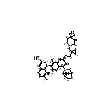 CCc1c(F)ccc2c1C(c1c(Cl)cc3c(N4CC5CCC(C4)N5)nc(OCC4(CN5CCC6(CC5)COC6)CC4)nc3c1F)CC(O)=C2